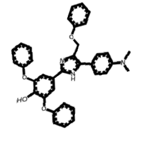 CN(C)c1ccc(-c2[nH]c(-c3cc(Oc4ccccc4)c(O)c(Oc4ccccc4)c3)nc2COc2ccccc2)cc1